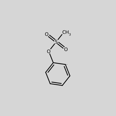 CS(=O)(=O)Oc1[c]cccc1